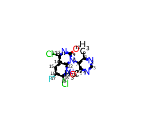 Cc1ncnc(C)c1-n1c(=O)nc(Cl)c2cc(F)c(Cl)[n+]([O-])c21